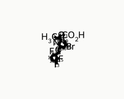 Cc1nc2c(OCc3c(F)ccc(F)c3F)cc(Br)cn2c1OC(=O)O